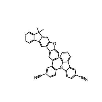 CC1(C)c2ccccc2-c2cc3c(cc21)oc1ccc(-c2cc(C#N)ccc2-n2c4ccccc4c4cc(C#N)ccc42)cc13